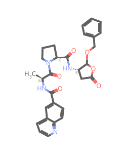 C[C@H](NC(=O)c1ccc2ncccc2c1)C(=O)N1CCC[C@H]1C(=O)N[C@H]1CC(=O)OC1OCc1ccccc1